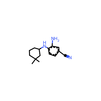 CC1(C)CCCC(Nc2ccc(C#N)cc2N)C1